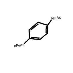 CCCCCc1ccc(NC(C)=O)cc1